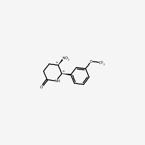 O=C1CC[C@@H]([N+](=O)[O-])[C@@H](c2cccc(OC(F)(F)F)c2)N1